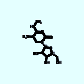 NNC1=NC(=O)N([C@@H]2O[C@H](CO)C(O)C2O)CN1N